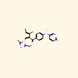 Cc1sc2c(c1C)C(c1ccc(Nc3ccc(F)nc3)cc1)=NCc1nnc(C)n1-2